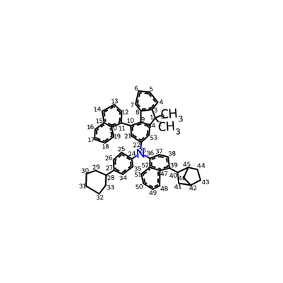 CC1(C)c2ccccc2-c2c(-c3cccc4ccccc34)cc(N(c3ccc(C4CCCCC4)cc3)c3ccc(C4CC5CCC4C5)c4ccccc34)cc21